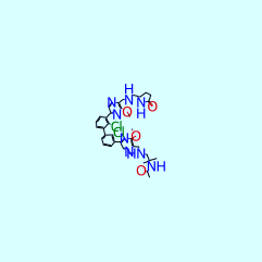 COc1nc(-c2cccc(-c3cccc(-c4cnc(CNCC(C)(C)NC(C)=O)c(OC)n4)c3Cl)c2Cl)cnc1CNCC1CCC(=O)N1